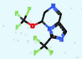 FC(F)(F)OC1CN=Cc2cnc(C(F)(F)F)n21